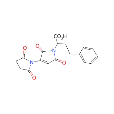 O=C(O)C(CCc1ccccc1)N1C(=O)C=C(N2C(=O)CCC2=O)C1=O